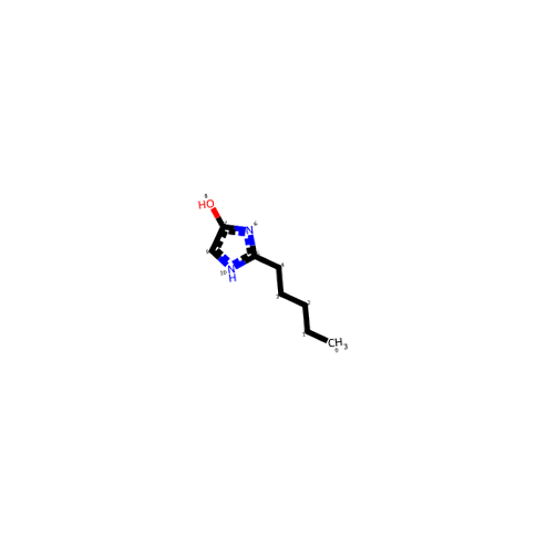 CCCCCc1nc(O)c[nH]1